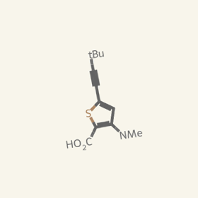 CNc1cc(C#CC(C)(C)C)sc1C(=O)O